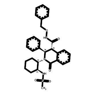 CS(=O)(=O)N[C@H]1CCCC[C@@H]1N1C(=O)c2ccccc2[C@@H](C(=O)NOCc2ccccc2)[C@@H]1c1ccccc1